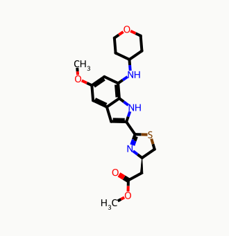 COC(=O)C[C@@H]1CSC(c2cc3cc(OC)cc(NC4CCOCC4)c3[nH]2)=N1